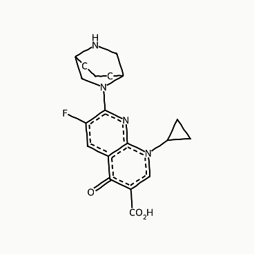 O=C(O)c1cn(C2CC2)c2nc(N3CC4CCCC3CN4)c(F)cc2c1=O